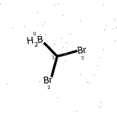 BC(Br)Br